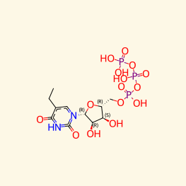 CCc1cn([C@@H]2O[C@H](COP(=O)(O)OP(=O)(O)OP(=O)(O)O)[C@@H](O)[C@H]2O)c(=O)[nH]c1=O